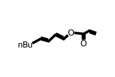 C=CC(=O)OC=CC=CCCCC